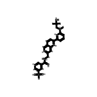 CN(CC(C)(C)O)c1cccc(-c2ccc3cnc(CNC(=O)c4cncc(S(C)(=O)=O)c4)cc3n2)n1